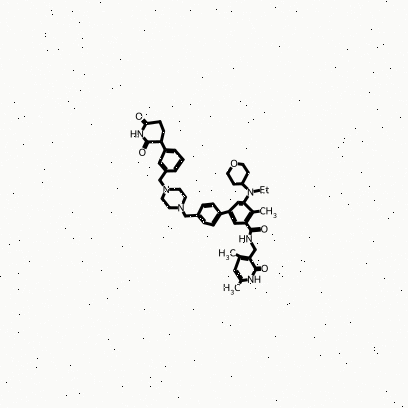 CCN(c1cc(-c2ccc(CN3CCN(Cc4cccc(C5CCC(=O)NC5=O)c4)CC3)cc2)cc(C(=O)NCc2c(C)cc(C)[nH]c2=O)c1C)C1CCOCC1